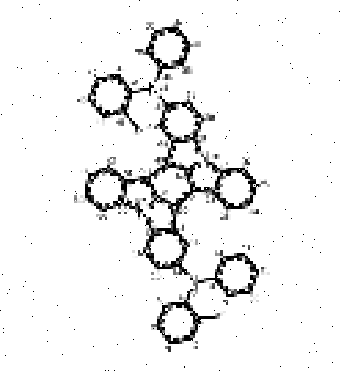 Cc1ccccc1N(c1ccccc1)c1ccc2c(c1)c1c3c4ccccc4n4c5ccc(N(c6ccccc6)c6ccccc6C)cc5c(c5c6ccccc6n2c51)c34